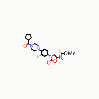 COC(=S)N(C)C1CN(c2ccc(N3CCN(C(=O)C4CCCC4)CC3)c(F)c2)C(=O)O1